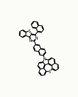 c1ccc2c(-c3nc(-c4ccc5cc(-n6c7ccc8cccc9sc%10cccc%11ccc6c(c%11%10)c7c89)ccc5c4)nc4c3sc3ccccc34)cccc2c1